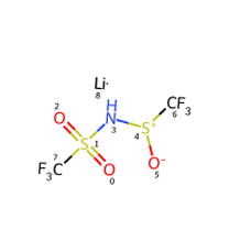 O=S(=O)(N[S+]([O-])C(F)(F)F)C(F)(F)F.[Li]